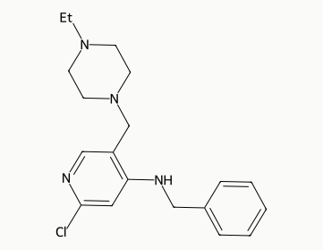 CCN1CCN(Cc2cnc(Cl)cc2NCc2ccccc2)CC1